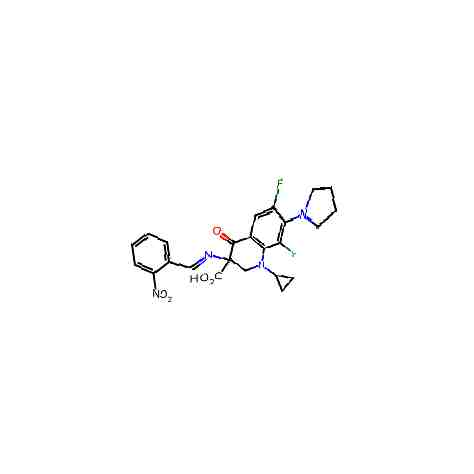 O=C(O)C1(N=Cc2ccccc2[N+](=O)[O-])CN(C2CC2)c2c(cc(F)c(N3CCCC3)c2F)C1=O